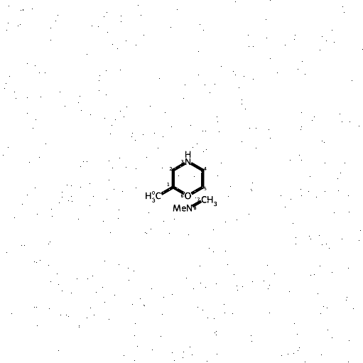 CC1CNCCO1.CNC